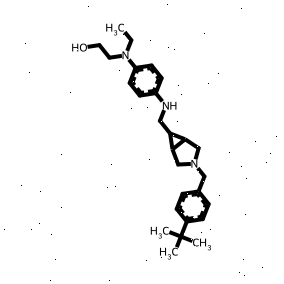 CCN(CCO)c1ccc(NCC2C3CN(Cc4ccc(C(C)(C)C)cc4)CC23)cc1